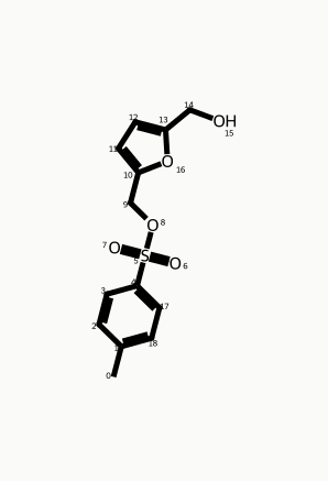 Cc1ccc(S(=O)(=O)OCc2ccc(CO)o2)cc1